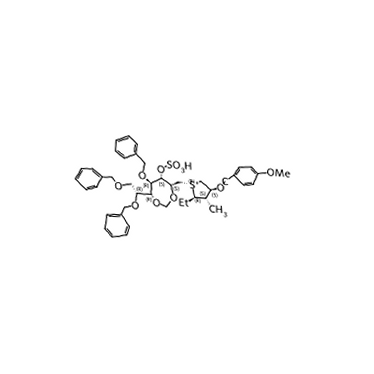 CC[C@@H]1[C@@H](C)[C@H](OCc2ccc(OC)cc2)C[S@@+]1C[C@H]1OCO[C@H]([C@@H](COCc2ccccc2)OCc2ccccc2)[C@@H](OCc2ccccc2)[C@@H]1OS(=O)(=O)O